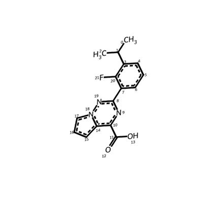 CC(C)c1cccc(-c2nc(C(=O)O)c3cccn3n2)c1F